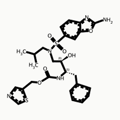 CC(C)CN(C[C@@H](O)[C@H](Cc1ccccc1)NC(=O)OCc1cncs1)S(=O)(=O)c1ccc2nc(N)oc2c1